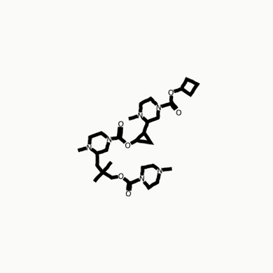 CN1CCN(C(=O)OCC(C)(C)CC2CN(C(=O)OC3CC3C3CN(C(=O)OC4CCC4)CCN3C)CCN2C)CC1